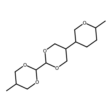 CC1COC(C2OCC(C3CCC(C)OC3)CO2)OC1